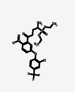 CCOP(=O)(OCC)C(N)CCC(=O)c1cc(Oc2ccc(C(F)(F)F)cc2Cl)ccc1[N+](=O)[O-]